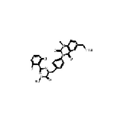 CCC(C)OC(=O)[C@H](Cc1ccc(-n2c(=O)c3cc(CNC)ccc3n(C)c2=O)cc1)NC(=O)c1c(Cl)cccc1Cl